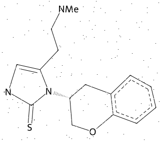 CNCCC1=C[N]C(=S)N1[C@H]1COc2ccccc2C1